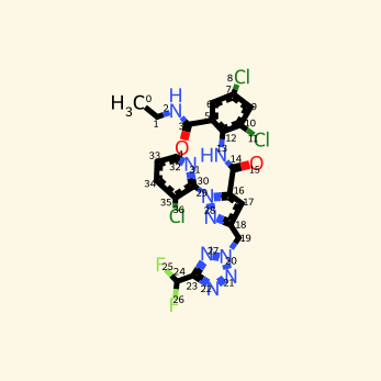 CCNC(=O)c1cc(Cl)cc(Cl)c1NC(=O)c1cc(Cn2nnc(C(F)F)n2)nn1-c1ncccc1Cl